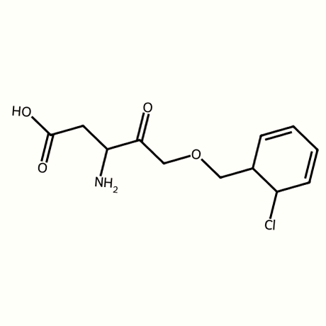 NC(CC(=O)O)C(=O)COCC1C=CC=CC1Cl